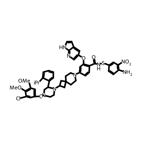 COc1cc(CN2CCN(C3CC4(CCN(c5ccc(C(=O)NSc6ccc(N)c([N+](=O)[O-])c6)c(Oc6cnc7[nH]ccc7c6)c5)CC4)C3)C(c3ccccc3C(C)C)C2)cc(Cl)c1OC